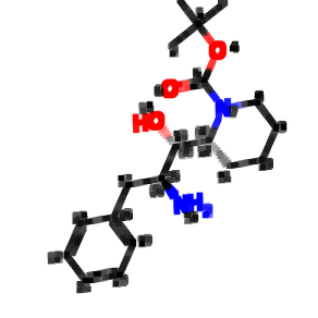 CC(C)(C)OC(=O)N1CCCC[C@@H]1[C@@H](O)[C@@H](N)Cc1ccccc1